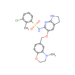 Cc1c(Cl)cccc1S(=O)(=O)Nc1nc2c(cc1OCc1ccc3c(c1)N(C)CCO3)CCN2